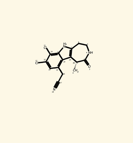 C[C@H]1C(=O)NCCc2[nH]c3c(Cl)c(Cl)cc(CC#N)c3c21